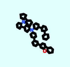 c1ccc(-c2cccc(-c3cccc(N(c4ccc(-c5cccc(-c6ccc7c(c6)oc6ccccc67)c5)cc4)c4ccc(-c5ccccc5-n5c6ccccc6c6ccccc65)cc4)c3)c2)cc1